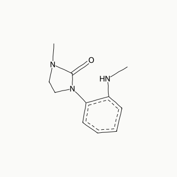 CNc1ccccc1N1CCN(C)C1=O